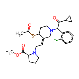 COC(=O)[C@@H]1CCCN1CC=C1CN(C(C(=O)C2CC2)c2ccccc2F)CCC1SC(C)=O